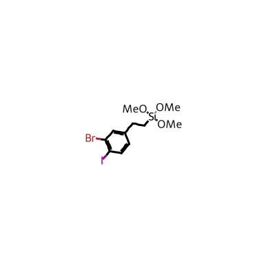 CO[Si](CCc1ccc(I)c(Br)c1)(OC)OC